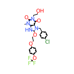 Cn1c2c(c(=O)n(CCO)c1=O)N(Cc1ccc(Cl)cc1)C(OCCOc1ccc(OC(F)(F)F)cc1)N2